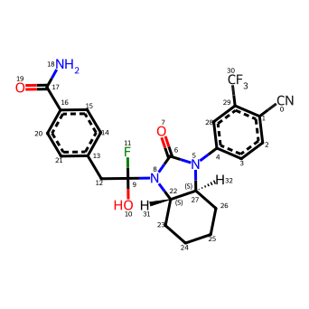 N#Cc1ccc(N2C(=O)N(C(O)(F)Cc3ccc(C(N)=O)cc3)[C@H]3CCCC[C@@H]32)cc1C(F)(F)F